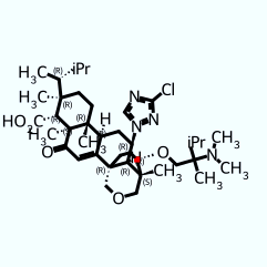 CC(C)[C@@H](C)[C@@]1(C)CC[C@]2(C)[C@H]3CC[C@@H]4[C@@]5(COC[C@@]4(C)[C@@H](OCC(C)(C(C)C)N(C)C)[C@H](n4cnc(Cl)n4)C5)C3=CC(=O)[C@@]2(C)[C@@H]1C(=O)O